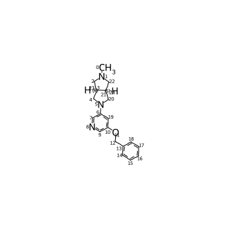 CN1C[C@@H]2CN(c3cncc(OCc4ccccc4)c3)C[C@@H]2C1